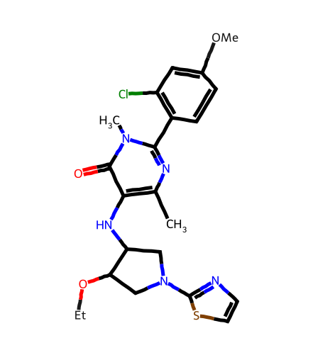 CCOC1CN(c2nccs2)CC1Nc1c(C)nc(-c2ccc(OC)cc2Cl)n(C)c1=O